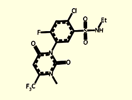 CCNS(=O)(=O)c1cc(-n2c(=O)cc(C(F)(F)F)n(C)c2=O)c(F)cc1Cl